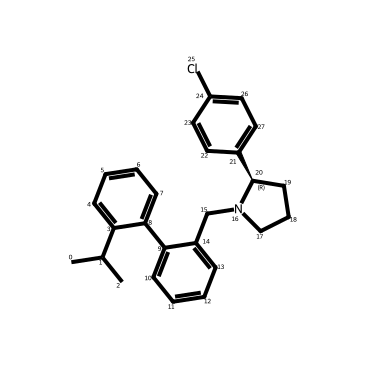 CC(C)c1ccccc1-c1ccccc1CN1CCC[C@@H]1c1ccc(Cl)cc1